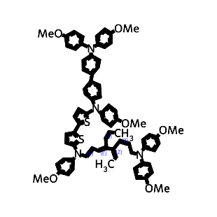 C\C=C/C(=C\C=C\N(c1ccc(OC)cc1)c1ccc(-c2ccc(N(c3ccc(OC)cc3)c3ccc(-c4ccc(N(c5ccc(OC)cc5)c5ccc(OC)cc5)cc4)cc3)s2)s1)C(/C=C\CN(c1ccc(OC)cc1)c1ccc(OC)cc1)=C\C